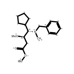 CO[C@H](CC(=O)OC(C)(C)C)[C@H](C1CCCC1)N(C)Cc1ccccc1